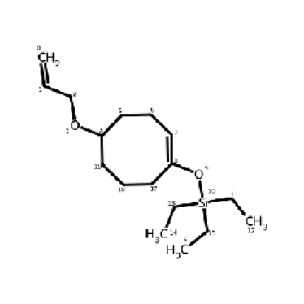 C=CCOC1CC/C=C(/O[Si](CC)(CC)CC)CCC1